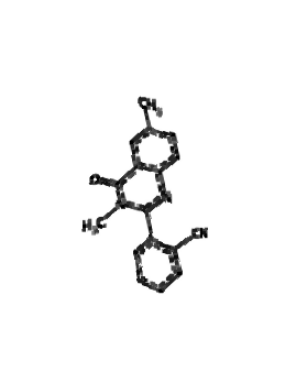 Cc1ccc2nc(-c3ccccc3C#N)n(C)c(=O)c2c1